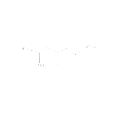 CCCCCCCN(N)CC(N)C(C)C